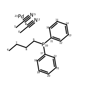 CC#N.CC#N.CCCCP(c1ccccc1)c1ccccc1.[Pd]